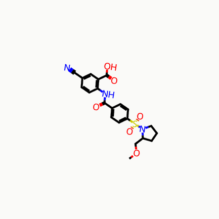 COCC1CCCN1S(=O)(=O)c1ccc(C(=O)Nc2ccc(C#N)cc2C(=O)O)cc1